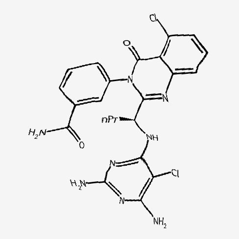 CCC[C@H](Nc1nc(N)nc(N)c1Cl)c1nc2cccc(Cl)c2c(=O)n1-c1cccc(C(N)=O)c1